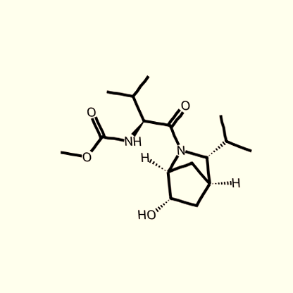 COC(=O)N[C@H](C(=O)N1[C@H](C(C)C)[C@H]2C[C@H](O)[C@@H]1C2)C(C)C